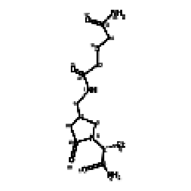 CC[C@H](C(N)=O)N1CC(CNC(=O)CSCC(N)=O)CC1=O